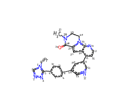 CC(C)n1cnnc1-c1ccc(-c2cncc(-c3ccnc4c3cc3n4CCN(C)C3=O)c2)cc1